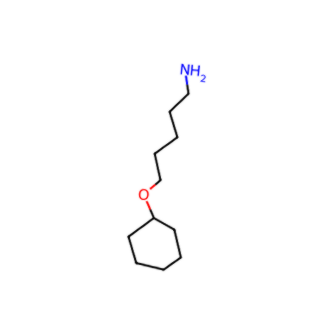 NCCCCCOC1CCCCC1